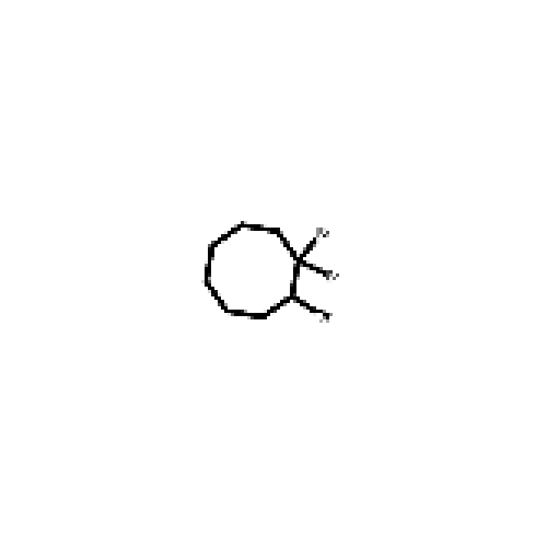 Br[C]1CCCCCCC1(Br)Br